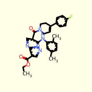 CCOC(=O)c1cnn2c(Nc3cc(C)ccc3C)c(C(=O)N3CC=C(c4ccc(F)cc4)CC3)cnc12